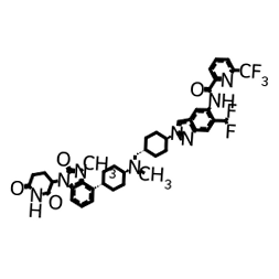 Cn1c(=O)n(C2CCC(=O)NC2=O)c2cccc([C@H]3CC[C@H](N(C)C[C@H]4CC[C@H](n5cc6cc(NC(=O)c7cccc(C(F)(F)F)n7)c(C(F)F)cc6n5)CC4)CC3)c21